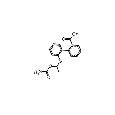 CC(OC(N)=O)Sc1ccccc1-c1ccccc1C(=O)O